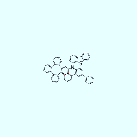 c1ccc(-c2ccc(N(c3ccc4c(c3)-c3ccccc3-c3ccccc3-c3ccccc3-4)c3cccc4c3sc3ccccc34)c(-c3ccccc3)c2)cc1